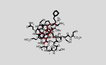 CC[C@H](C)[C@H](NC(=O)[C@@H](N)Cc1ccccc1)C(=O)N[C@@H](Cc1ccccc1)C(=O)N1CCC[C@H]1C(=O)N1CCC[C@H]1C(=O)N[C@@H](CO)C(=O)N[C@@H](CC(=O)O)C(=O)N[C@@H](CCC(=O)O)C(=O)N[C@@H](CCC(N)=O)C(=O)N[C@@H](CC(C)C)C(=O)N[C@@H](CCCCN)C(=O)N[C@@H](CO)C(=O)NCC(=O)N[C@H](C(=O)N[C@@H](C)C(=O)N[C@@H](CO)C(=O)N[C@H](C(=O)N[C@H](C(=O)N[C@@H](CS)C(=O)N[C@@H](CC(C)C)C(=O)O)C(C)C)C(C)C)[C@@H](C)O